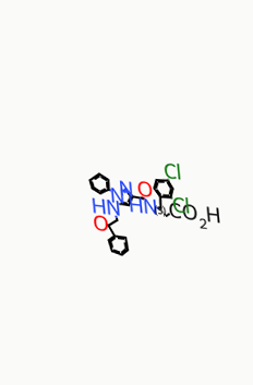 O=C(O)C[C@H](NC(=O)c1cc(NCC(=O)c2ccccc2)n(-c2ccccc2)n1)c1ccc(Cl)cc1Cl